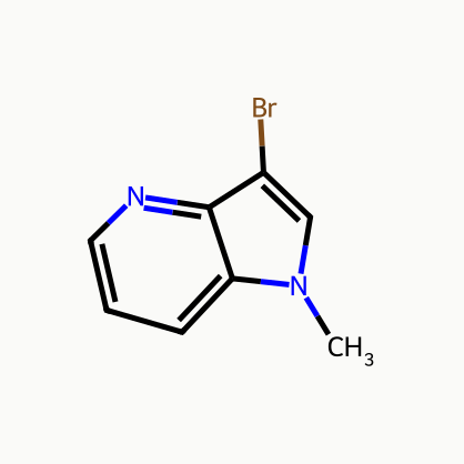 Cn1cc(Br)c2ncccc21